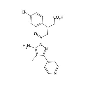 Cc1c(-c2ccncc2)nn(C(=O)CC(CC(=O)O)c2ccc(Cl)cc2)c1N